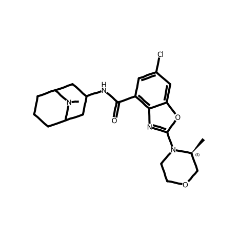 C[C@H]1COCCN1c1nc2c(C(=O)NC3CC4CCCC(C3)N4C)cc(Cl)cc2o1